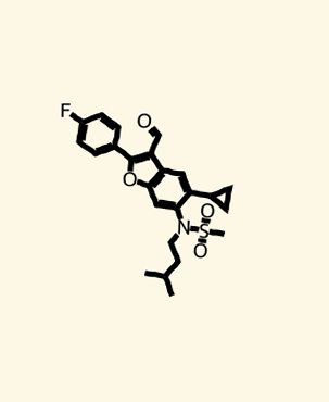 CC(C)CCN(c1cc2oc(-c3ccc(F)cc3)c(C=O)c2cc1C1CC1)S(C)(=O)=O